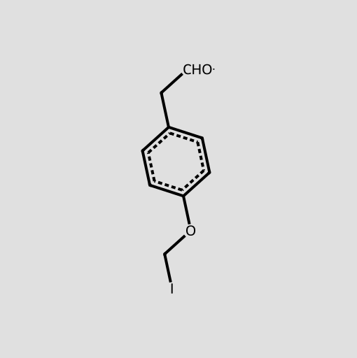 O=[C]Cc1ccc(OCI)cc1